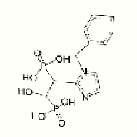 O=P(O)(O)C(O)C(c1nccn1Cc1ccccc1)P(=O)(O)O